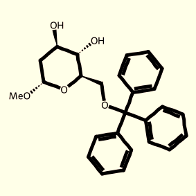 CO[C@@H]1C[C@@H](O)[C@H](O)[C@@H](COC(c2ccccc2)(c2ccccc2)c2ccccc2)O1